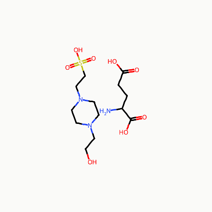 NC(CCC(=O)O)C(=O)O.O=S(=O)(O)CCN1CCN(CCO)CC1